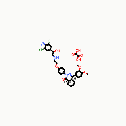 COc1ccc(C2=NN(c3ccc(OCCNCC(O)c4cc(Cl)c(N)c(Cl)c4)cc3)C(=O)[C@@H]3CC=CC[C@H]23)cc1OC.O=C(O)C(=O)O